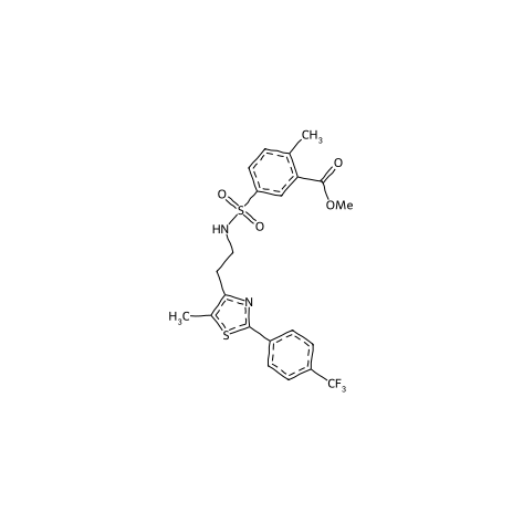 COC(=O)c1cc(S(=O)(=O)NCCc2nc(-c3ccc(C(F)(F)F)cc3)sc2C)ccc1C